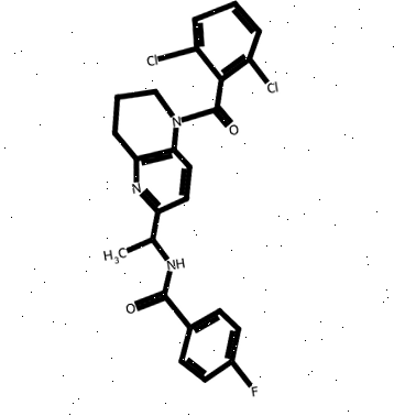 CC(NC(=O)c1ccc(F)cc1)c1ccc2c(n1)CCCN2C(=O)c1c(Cl)cccc1Cl